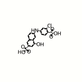 O=S(=O)(O)c1cc(O)c2cc(Nc3ccc(S(=O)(=O)O)c(Cl)c3)ccc2c1